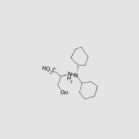 C1CCC(NC2CCCCC2)CC1.NC(CO)C(=O)O